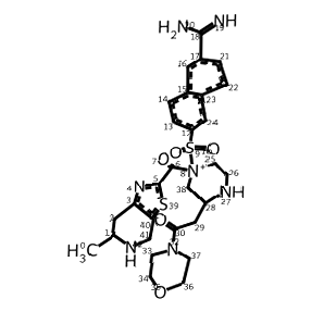 CC1Cc2nc(C(=O)[N+]3(S(=O)(=O)c4ccc5cc(C(=N)N)ccc5c4)CCNC(CC(=O)N4CCOCC4)C3)sc2CN1